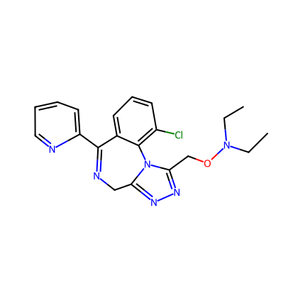 CCN(CC)OCc1nnc2n1-c1c(Cl)cccc1C(c1ccccn1)=NC2